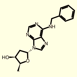 [CH2][C@@H]1O[C@@H](n2cnc3c(NCc4ccccc4)ncnc32)C[C@@H]1O